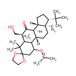 C[SiH](C)OC1CC2(OCCO2)C(C)(C)C2[C@@H](CO)C(=O)[C@@H]3[C@H](CC[C@]4(C)[C@@H](C(C)(C)C)CC[C@@H]34)[C@@]12C